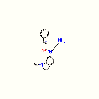 CC(=O)N1CCc2ccc(N(CCCN)C(=O)/C=C/c3ccccc3)cc21